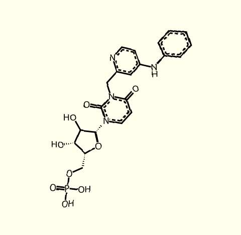 O=c1ccn([C@@H]2O[C@H](COP(=O)(O)O)[C@H](O)C2O)c(=O)n1Cc1cc(Nc2ccccc2)ccn1